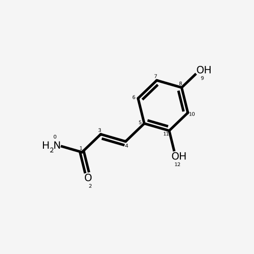 NC(=O)C=Cc1ccc(O)cc1O